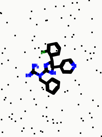 N=C(N)N(Cc1ccccc1)c1nc(-c2ccccc2F)c(-c2ccncc2)[nH]1